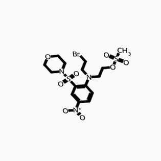 CS(=O)(=O)OCCN(CCBr)c1ccc([N+](=O)[O-])cc1S(=O)(=O)N1CCOCC1